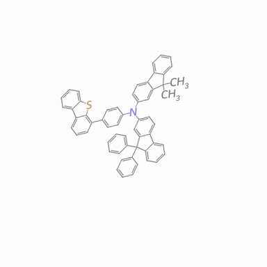 CC1(C)c2ccccc2-c2ccc(N(c3ccc(-c4cccc5c4sc4ccccc45)cc3)c3ccc4c(c3)C(c3ccccc3)(c3ccccc3)c3ccccc3-4)cc21